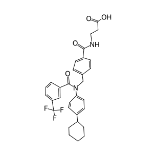 O=C(O)CCNC(=O)c1ccc(CN(C(=O)c2cccc(C(F)(F)F)c2)c2ccc(C3CCCCC3)cc2)cc1